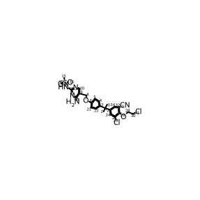 CC(C)(c1ccc(OCc2cnc(NS(C)(=O)=O)nc2N)cc1)c1cc(Cl)c(OCCCl)c(C#N)c1